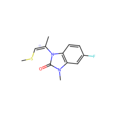 CS/C=C(/C)n1c(=O)n(C)c2cc(F)ccc21